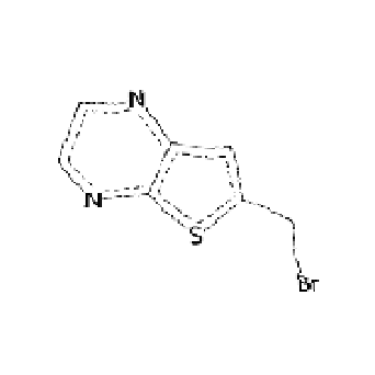 BrCc1cc2nccnc2s1